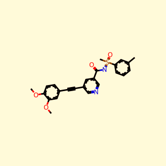 COc1ccc(C#Cc2cncc(C(=O)N=S(C)(=O)c3cccc(C)c3)c2)cc1OC